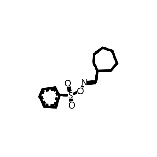 O=S(=O)(O/N=C/C1CCCCCC1)c1ccccc1